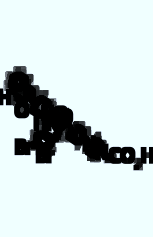 O=C(O)CN1CCN(C2CCN(C(=O)C(Cc3ccc(Br)c(Br)c3)NC(=O)N3CCC(N4Cc5ccccc5NC4=O)CC3)CC2)CC1